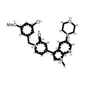 COc1cc(Cl)cc(Cn2ccc(-c3cn(C)c4ncc(N5CCOCC5)cc34)cc2=O)c1